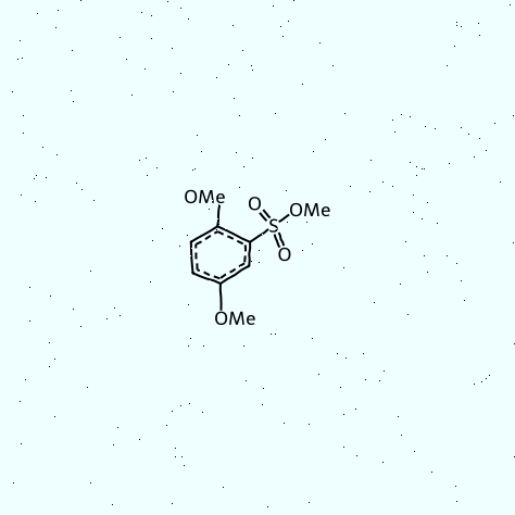 COc1ccc(OC)c(S(=O)(=O)OC)c1